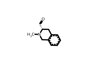 CN1Cc2ccccc2C[C@H]1C=O